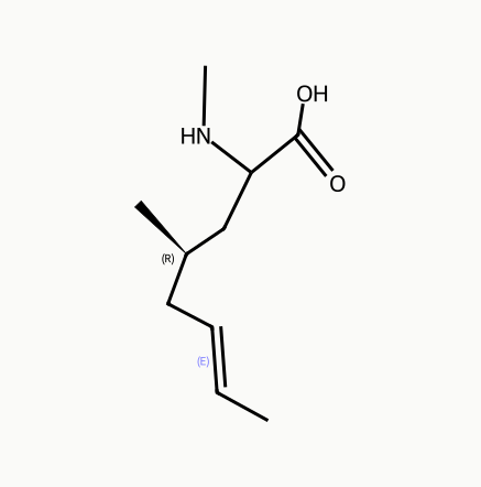 C/C=C/C[C@@H](C)CC(NC)C(=O)O